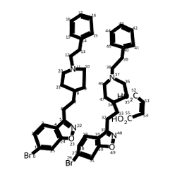 Brc1ccc2c(CCC3CCN(CCc4ccccc4)CC3)noc2c1.Brc1ccc2c(CCC3CCN(CCc4ccccc4)CC3)noc2c1.O=C(O)/C=C\C(=O)O